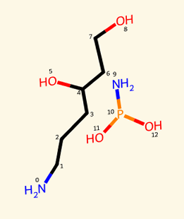 NCCCC(O)CCO.NP(O)O